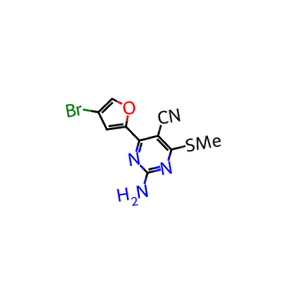 CSc1nc(N)nc(-c2cc(Br)co2)c1C#N